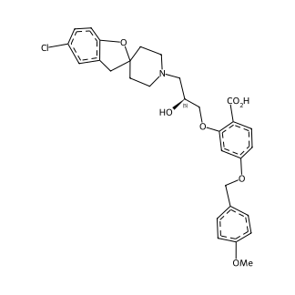 COc1ccc(COc2ccc(C(=O)O)c(OC[C@@H](O)CN3CCC4(CC3)Cc3cc(Cl)ccc3O4)c2)cc1